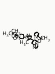 Cc1c(-c2cc(O[C@H](C)c3ccccn3)n3ccnc3c2)cnn1C1CCN(C(=O)OC(C)(C)C)CC1